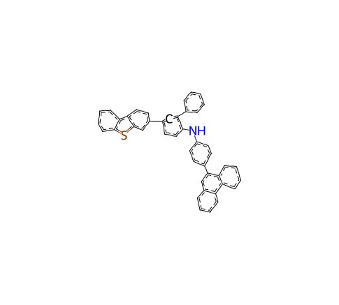 c1ccc(-c2cc(-c3ccc4c(c3)sc3ccccc34)ccc2Nc2ccc(-c3cc4ccccc4c4ccccc34)cc2)cc1